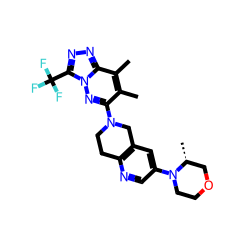 Cc1c(N2CCc3ncc(N4CCOC[C@H]4C)cc3C2)nn2c(C(F)(F)F)nnc2c1C